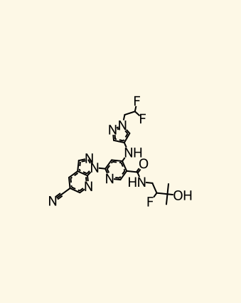 CC(C)(O)C(F)CNC(=O)c1cnc(-n2ncc3cc(C#N)cnc32)cc1Nc1cnn(CC(F)F)c1